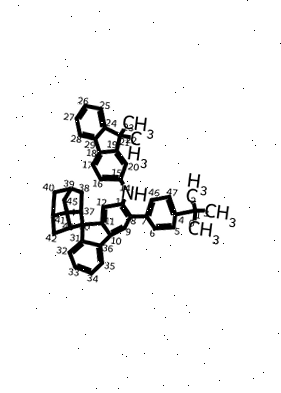 CC(C)(C)c1ccc(-c2cc3c(cc2Nc2ccc4c(c2)C(C)(C)c2ccccc2-4)C2(c4ccccc4-3)C3CC4CC5CC2C53C4)cc1